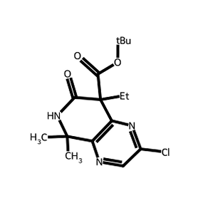 CCC1(C(=O)OC(C)(C)C)C(=O)NC(C)(C)c2ncc(Cl)nc21